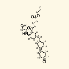 CCCOC(=O)CCCOc1cc(Cc2ccc(-c3ccc(Cl)cc3)cc2)ccc1NC(=O)CO